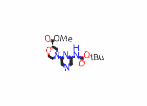 COC(=O)[C@H]1CN(c2cncc(NC(=O)OC(C)(C)C)n2)CCO1